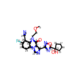 COCCn1c(=O)c2c(-c3noc(C4(O)CCCC4)n3)ncn2c2ccc(F)c(C#N)c21